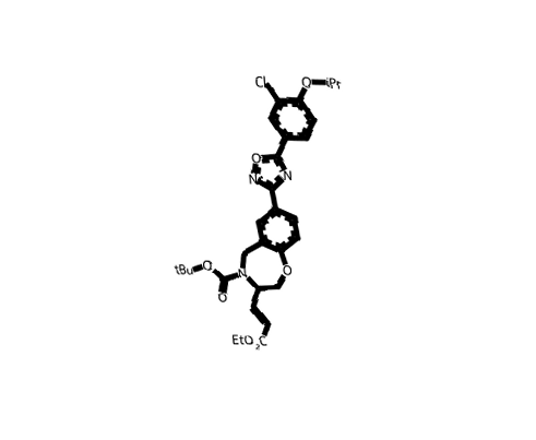 CCOC(=O)/C=C/C1COc2ccc(-c3noc(-c4ccc(OC(C)C)c(Cl)c4)n3)cc2CN1C(=O)OC(C)(C)C